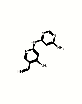 N=Cc1cnc(Nc2cc(N)ncn2)cc1N